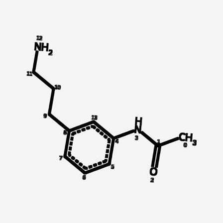 CC(=O)Nc1cccc(CCCN)c1